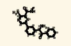 CNC(=O)c1nc(-c2cccc(C(N)C(=O)c3ccccc3)c2)cnc1N